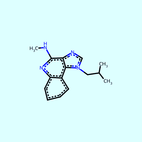 CNc1nc2ccccc2c2c1ncn2CC(C)C